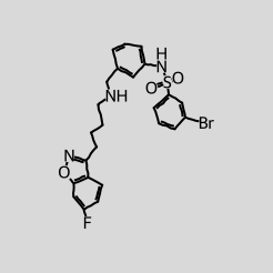 O=S(=O)(Nc1cccc(CNCCCCc2noc3cc(F)ccc23)c1)c1cccc(Br)c1